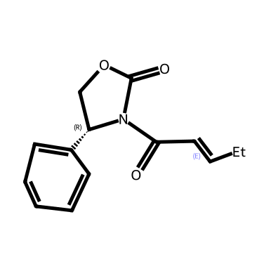 CC/C=C/C(=O)N1C(=O)OC[C@H]1c1ccccc1